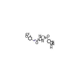 O=C(/C=C/c1ccc(OC(F)(F)F)cc1)N1C[C@@H]2CN(C(=O)c3ccc4[nH]nnc4c3)CC[C@H]2C1